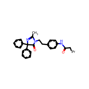 CC1=NC(c2ccccc2)(c2ccccc2)C(=O)N1CCc1ccc(NC(=O)CC(C)C)cc1